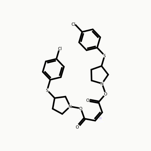 O=C(/C=C\C(=O)ON1CCC(Sc2ccc(Cl)cc2)C1)ON1CCC(Sc2ccc(Cl)cc2)C1